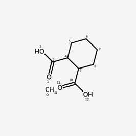 C.O=C(O)C1CCCCC1C(=O)O